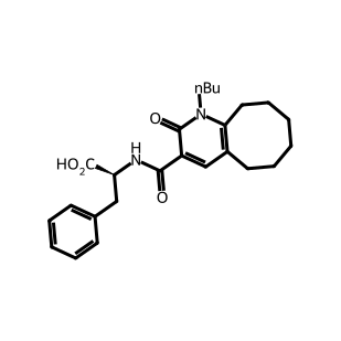 CCCCn1c2c(cc(C(=O)N[C@@H](Cc3ccccc3)C(=O)O)c1=O)CCCCCC2